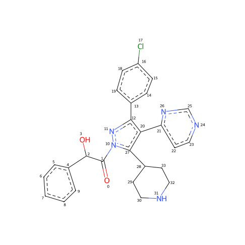 O=C(C(O)c1ccccc1)n1nc(-c2ccc(Cl)cc2)c(-c2ccncn2)c1C1CCNCC1